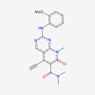 C#Cc1c(C(=O)N(C)C)c(=O)n(C)c2nc(Nc3ccccc3OC)ncc12